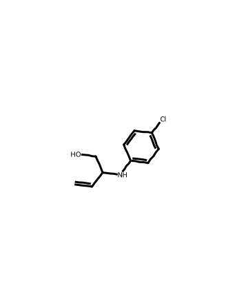 C=CC(CO)Nc1ccc(Cl)cc1